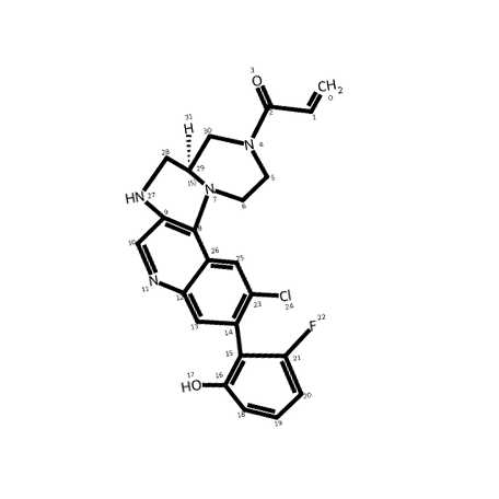 C=CC(=O)N1CCN2c3c(cnc4cc(-c5c(O)cccc5F)c(Cl)cc34)NC[C@H]2C1